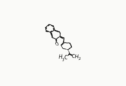 C=C(C)[C@H]1CC=C(C=C2C=c3ccccc3=CC2=O)CC1